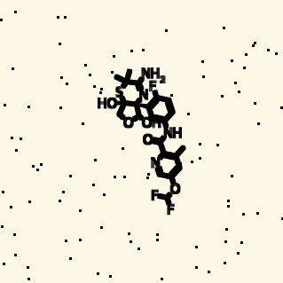 Cc1cc(OC(F)F)cnc1C(=O)Nc1ccc(F)c([C@]23N=C(N)C(C)(C)S[C@@]2(O)COC3O)c1